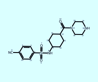 N#Cc1ccc(S(=O)(=O)NC2CCC(C(=O)N3CCNCC3)CC2)cc1